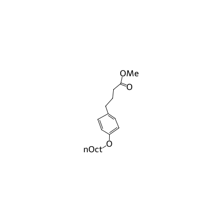 CCCCCCCCOc1ccc(CCCC(=O)OC)cc1